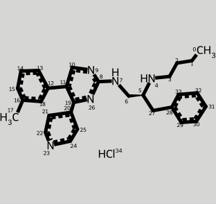 CCCCN[C@H](CNc1ncc(-c2cccc(C)c2)c(-c2ccncc2)n1)Cc1ccccc1.Cl